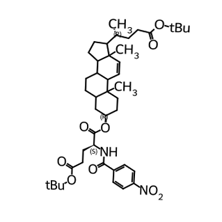 C[C@H](CCC(=O)OC(C)(C)C)C1CCC2C3CCC4C[C@H](OC(=O)[C@H](CCC(=O)OC(C)(C)C)NC(=O)c5ccc([N+](=O)[O-])cc5)CCC4(C)C3C=CC21C